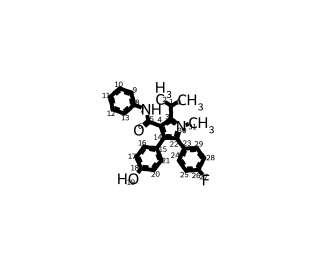 CC(C)c1c(C(=O)Nc2ccccc2)c(-c2ccc(O)cc2)c(-c2ccc(F)cc2)n1C